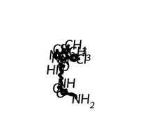 Cc1sc2c(c1C)C(c1ccc(Cl)cc1)=N[C@@H](CC(=O)NCCCCNC(=O)c1cc(C#CCN)co1)c1nnc(C)n1-2